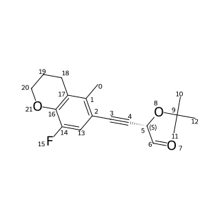 Cc1c(C#C[C@@H](C=O)OC(C)(C)C)cc(F)c2c1CCCO2